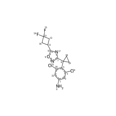 Nc1cc(Cl)c(C2(c3noc(C4CC(F)(F)C4)n3)CC2)c(Cl)c1